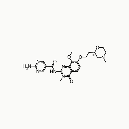 COc1c(OCC[C@@H]2CN(C)CCO2)ccc2c(=O)n(C)c(NC(=O)c3cnc(N)nc3)nc12